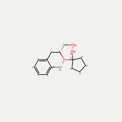 OC[C@@H](Cc1ccccc1Cl)OC1(O)CCCC1